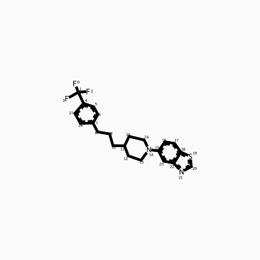 FC(F)(F)c1ccc(CCCC2CCN(c3ccc4scnc4c3)CC2)cc1